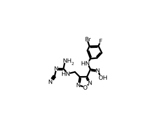 N#C/N=C(/N)NCc1nonc1/C(=N\O)Nc1ccc(F)c(Br)c1